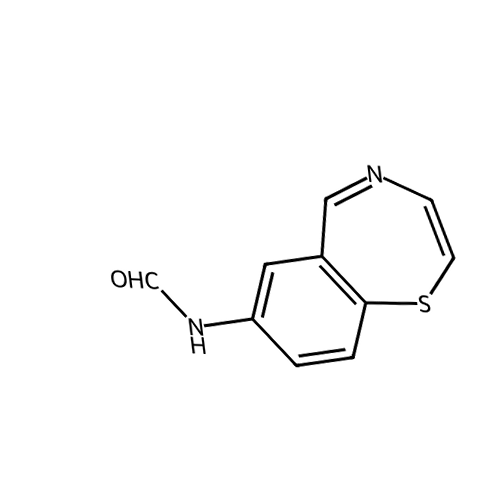 O=CNc1ccc2c(c1)C=NC=CS2